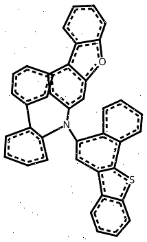 c1ccc(-c2ccccc2N(c2ccc3c(c2)oc2ccccc23)c2cc3c4ccccc4sc3c3ccccc23)cc1